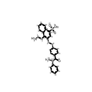 NN=Nc1c(/N=N/c2ccc(C(=O)N(N)c3ccccc3)cc2)cc(S(=O)(=O)O)c2ccccc12